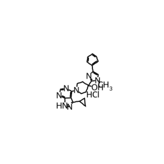 Cl.Cn1cc(-c2ccccc2)nc1C1(O)CCN(c2ncnc3[nH]nc(C4CC4)c23)CC1